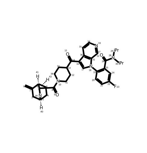 C=C1C[C@@H]2CC[C@H]1[C@@H](C(=O)N1CCC(C(=O)c3cn(-c4ccc(F)cc4C(=O)N(C(C)C)C(C)C)c4cnccc34)CC1)N2